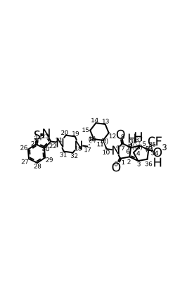 O=C1C2=C3C[C@@H]([C@H]2C(=O)N1C[C@@H]1CCCC[C@H]1CN1CCN(c2nsc4ccccc24)CC1)[C@](O)(C(F)(F)F)C3